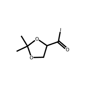 CC1(C)OCC(C(=O)I)O1